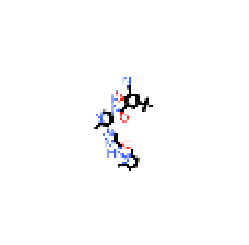 COc1c(C#N)cc(C(C)(C)C)cc1C(=O)Nc1cnc(C)c(-n2cc(C(=O)NN3C(C)CCCC3C)nn2)c1